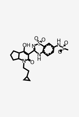 CS(=O)(=O)Nc1ccc2c(c1)S(=O)(=O)N=C(C1=C(O)C3CCCC3N(CCC3CC3)C1=O)N2